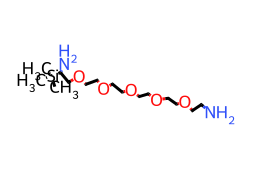 C[Si](C)(C)C(N)COCCOCCOCCOCCOCCN